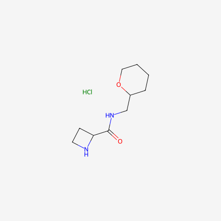 Cl.O=C(NCC1CCCCO1)C1CCN1